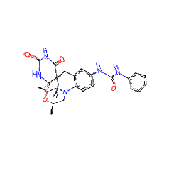 C[C@@H]1CN2c3ccc(NC(=O)Nc4ccccc4)cc3CC3(C(=O)NC(=O)NC3=O)[C@H]2[C@H](C)O1